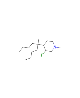 CCCCC(C)(CCCC)C1CCN(C)CC1F